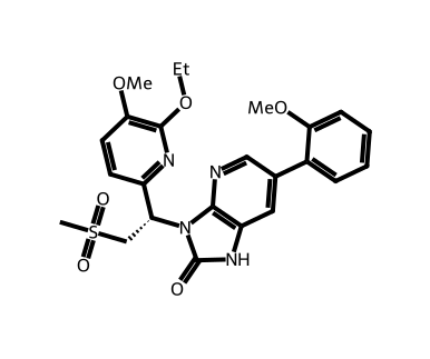 CCOc1nc([C@@H](CS(C)(=O)=O)n2c(=O)[nH]c3cc(-c4ccccc4OC)cnc32)ccc1OC